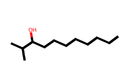 CCCCCCCCC(O)[C](C)C